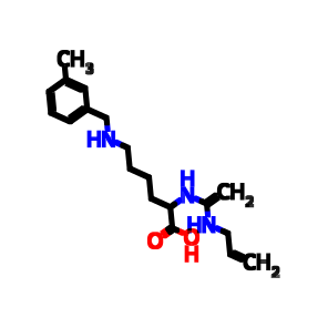 C=CCNC(=C)NC(CCCCNCc1cccc(C)c1)C(=O)O